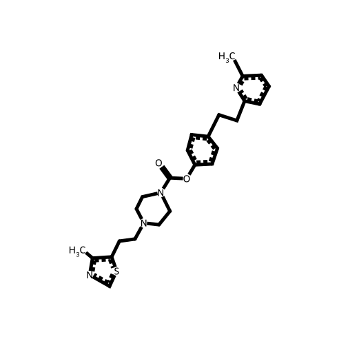 Cc1cccc(CCc2ccc(OC(=O)N3CCN(CCc4scnc4C)CC3)cc2)n1